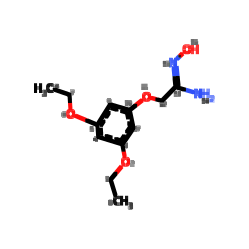 CCOc1cc(OCC)cc(OCC(N)=NO)c1